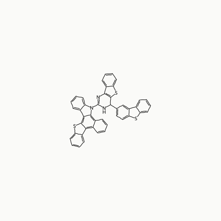 c1ccc2c3c(sc2c1)C(c1ccc2sc4ccccc4c2c1)NC(n1c2ccccc2c2c4sc5ccccc5c4c4ccccc4c21)=N3